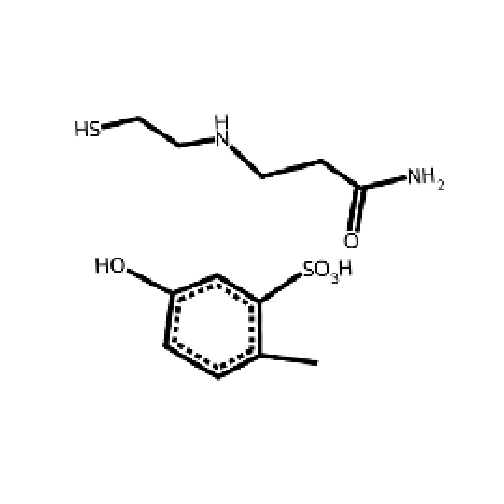 Cc1ccc(O)cc1S(=O)(=O)O.NC(=O)CCNCCS